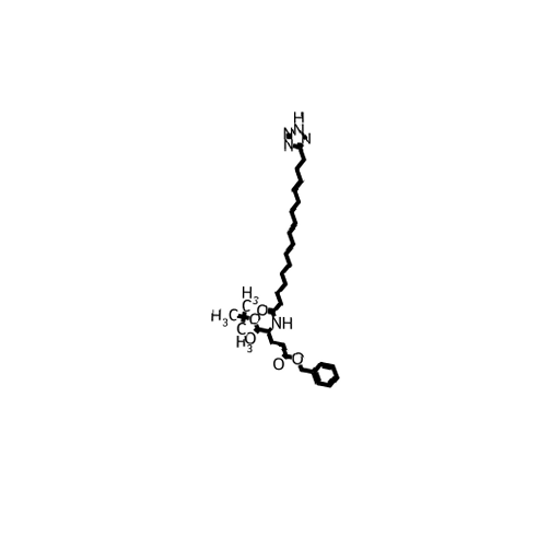 CC(C)(C)OC(=O)C(CCC(=O)OCc1ccccc1)NC(=O)CCCCCCCCCCCCCCCc1nn[nH]n1